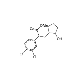 COC(=O)C(CC1CCCC1O)c1ccc(Cl)c(Cl)c1